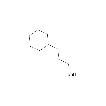 [SnH][CH2]CCC1CCCCC1